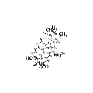 CCCCCCCCCCCC(=O)O.CCCCCCCCCCCCCC(=O)[O-].CCCCCCCCCCCCCC(=O)[O-].[Mg+2]